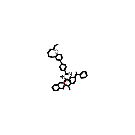 C=N\C(=N/C(=N\Cc1ccc2ccccc2c1)C(/C=C\c1ccccc1C)=C(\C)c1ccccc1)c1ccc(-c2ccc3c(c2)\C=C/C=C\C(=C\C)O3)cc1